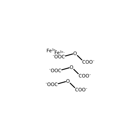 O=C([O-])OC(=O)[O-].O=C([O-])OC(=O)[O-].O=C([O-])OC(=O)[O-].[Fe+3].[Fe+3]